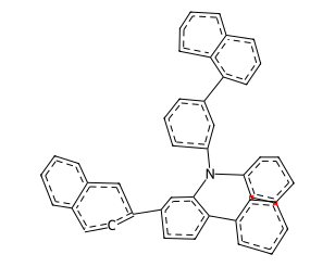 c1ccc(-c2ccc(-c3ccc4ccccc4c3)cc2N(c2ccccc2)c2cccc(-c3cccc4ccccc34)c2)cc1